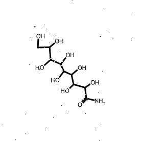 NC(=O)C(O)C(O)C(O)C(O)C(O)C(O)C(O)CO